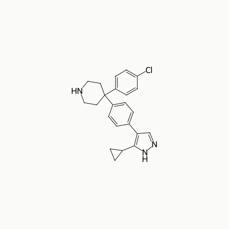 Clc1ccc(C2(c3ccc(-c4cn[nH]c4C4CC4)cc3)CCNCC2)cc1